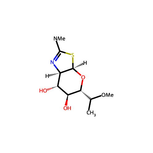 CNC1=N[C@@H]2[C@@H](O)[C@H](O)[C@@H](C(C)OC)O[C@@H]2S1